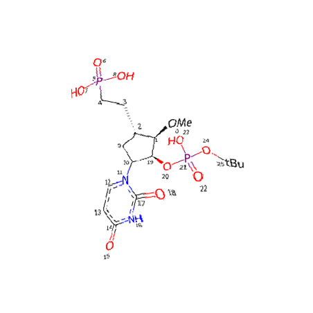 CO[C@@H]1[C@@H](CCP(=O)(O)O)CC(n2ccc(=O)[nH]c2=O)[C@@H]1OP(=O)(O)OC(C)(C)C